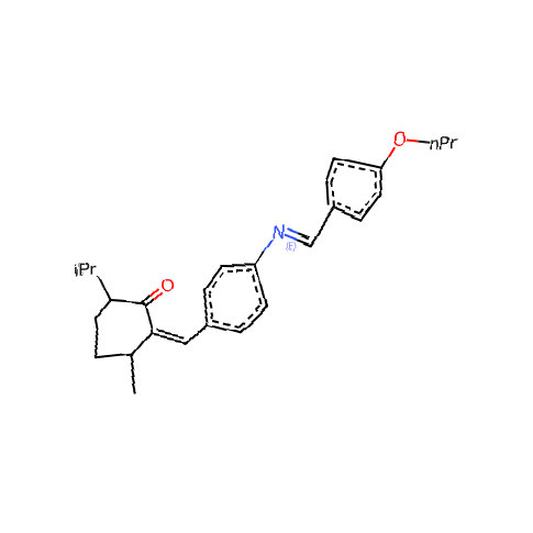 CCCOc1ccc(/C=N/c2ccc(C=C3C(=O)C(C(C)C)CCC3C)cc2)cc1